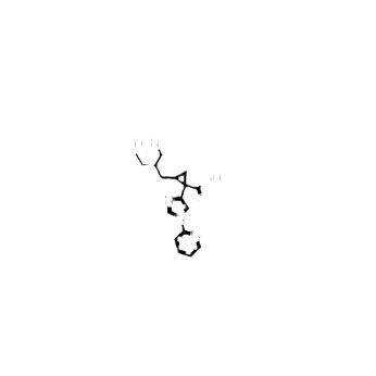 CC[C@@H](CN)CC1CC1(C(=O)O)c1cn(-c2ccccn2)cn1